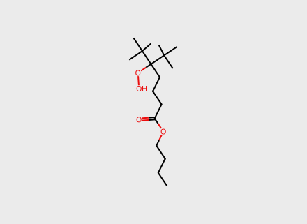 CCCCOC(=O)CCCC(OO)(C(C)(C)C)C(C)(C)C